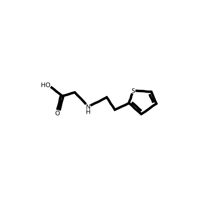 O=C(O)CNCCc1cccs1